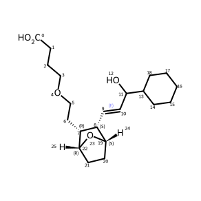 O=C(O)CCCOCC[C@@H]1[C@H](/C=C/C(O)C2CCCCC2)[C@@H]2CC[C@H]1O2